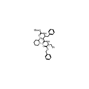 CC(C)C[C@H](NC(=O)[C@@H](OC1CCCCO1)C(Cc1ccccc1)NC(=O)OC(C)(C)C)C(=O)OCc1ccccc1